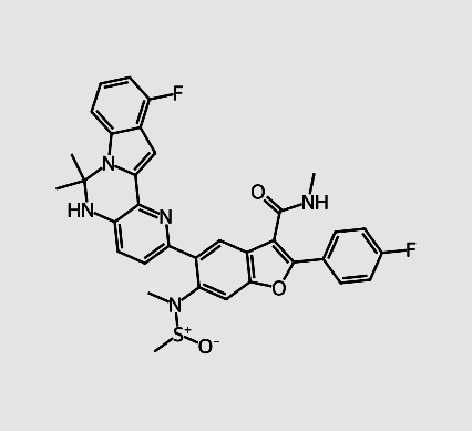 CNC(=O)c1c(-c2ccc(F)cc2)oc2cc(N(C)[S+](C)[O-])c(-c3ccc4c(n3)-c3cc5c(F)cccc5n3C(C)(C)N4)cc12